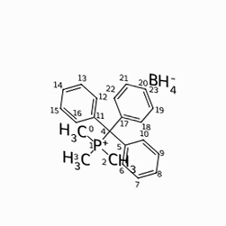 C[P+](C)(C)C(c1ccccc1)(c1ccccc1)c1ccccc1.[BH4-]